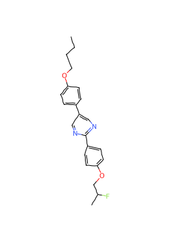 CCCCOc1ccc(-c2cnc(-c3ccc(OCC(C)F)cc3)nc2)cc1